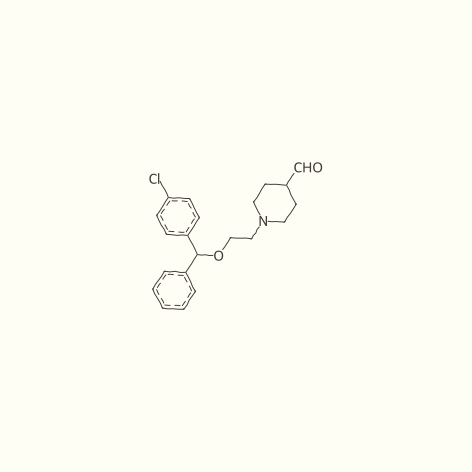 O=CC1CCN(CCOC(c2ccccc2)c2ccc(Cl)cc2)CC1